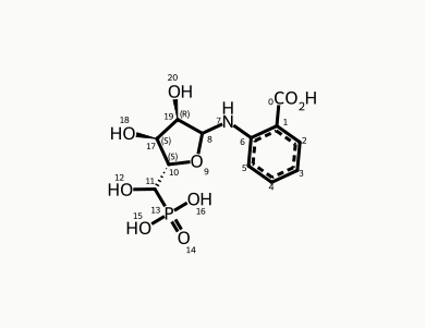 O=C(O)c1ccccc1NC1O[C@H](C(O)P(=O)(O)O)[C@@H](O)[C@H]1O